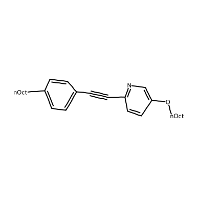 CCCCCCCCOc1ccc(C#Cc2ccc(CCCCCCCC)cc2)nc1